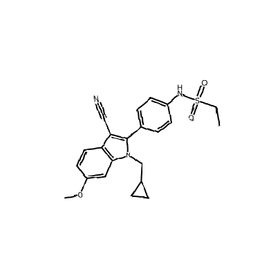 CCS(=O)(=O)Nc1ccc(-c2c(C#N)c3ccc(OC)cc3n2CC2CC2)cc1